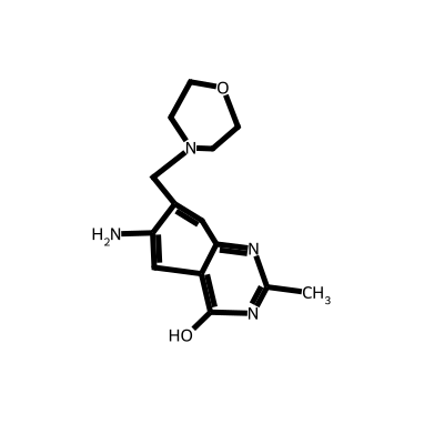 Cc1nc(O)c2cc(N)c(CN3CCOCC3)cc2n1